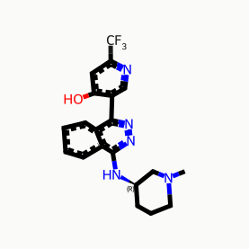 CN1CCC[C@@H](Nc2nnc(-c3cnc(C(F)(F)F)cc3O)c3ccccc23)C1